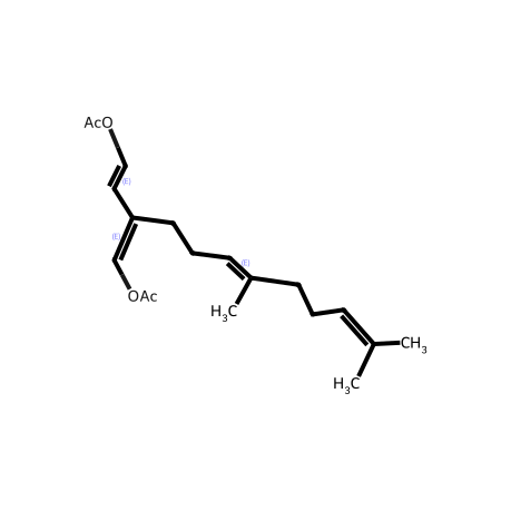 CC(=O)O/C=C/C(=C/OC(C)=O)CC/C=C(\C)CCC=C(C)C